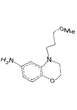 COCCCN1CCOc2ccc(N)cc21